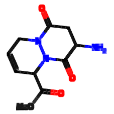 COC(=O)C1C=CCN2C(=O)CC(N)C(=O)N12